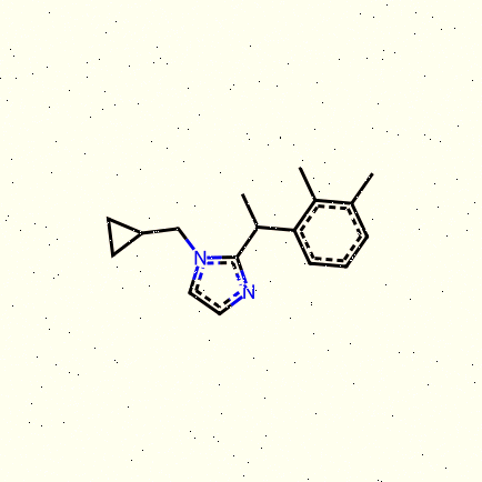 Cc1cccc(C(C)c2nccn2CC2CC2)c1C